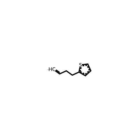 [CH]=CCCc1cccs1